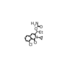 CC[C@H](OC(N)=O)c1cc2cccc(Cl)c2c(=O)n1C1CC1